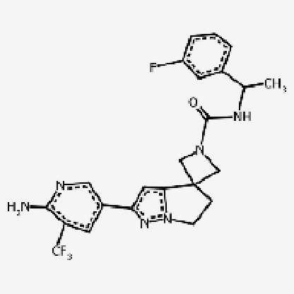 CC(NC(=O)N1CC2(CCn3nc(-c4cnc(N)c(C(F)(F)F)c4)cc32)C1)c1cccc(F)c1